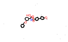 COc1ccc(-c2ccc(S(=O)(=O)N(C)C(C(=O)O)C3CCCC(OCc4ccccc4)C3)cc2)cc1